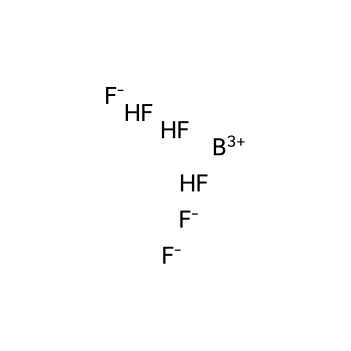 F.F.F.[B+3].[F-].[F-].[F-]